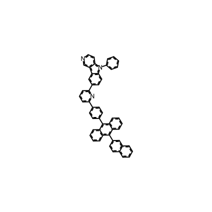 c1ccc(-n2c3ccncc3c3cc(-c4cccc(-c5ccc(-c6c7ccccc7c(-c7ccc8ccccc8c7)c7ccccc67)cc5)n4)ccc32)cc1